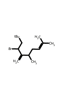 C=C(C(C)CC=C(C)C)C(Br)CC(C)(C)C